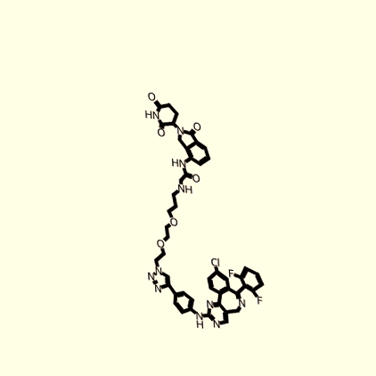 O=C1CCC(N2Cc3c(NC(=O)CNCCCOCCOCCn4cc(-c5ccc(Nc6ncc7c(n6)-c6ccc(Cl)cc6C(c6c(F)cccc6F)=NC7)cc5)nn4)cccc3C2=O)C(=O)N1